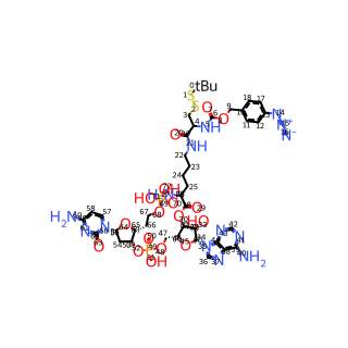 CC(C)(C)SSCC(NC(=O)OCc1ccc(N=[N+]=[N-])cc1)C(=O)NCCCC[C@H](N)C(=O)O[C@H]1[C@@H](O)[C@H](n2cnc3c(N)ncnc32)O[C@@H]1COP(=O)(O)O[C@H]1C[C@H](n2ccc(N)nc2=O)O[C@@H]1CCOP(=O)(O)O